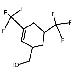 OCC1C=C(C(F)(F)F)CC(C(F)(F)F)C1